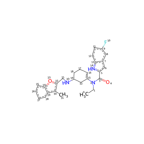 CCN(C(=O)c1cc2cc(F)ccc2[nH]1)C1=CCCC(NCc2oc3ccccc3c2C)C1